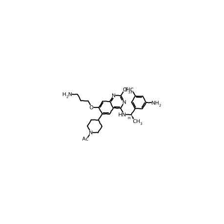 CC(=O)N1CCC(c2cc3c(N[C@H](C)c4cc(N)cc(C(F)(F)F)c4)nc(C)nc3cc2OCCCN)CC1